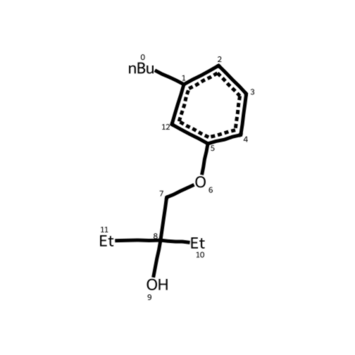 CCCCc1cccc(OCC(O)(CC)CC)c1